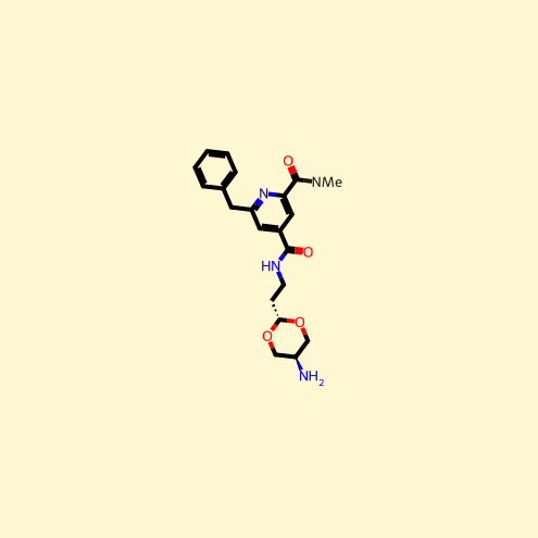 CNC(=O)c1cc(C(=O)NCC[C@H]2OC[C@H](N)CO2)cc(Cc2ccccc2)n1